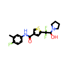 Cc1cc(NC(=O)c2csc(C(F)(F)C(O)N3CCCC3)c2)ccc1F